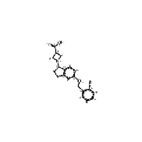 O=C(O)C1CN(C2CCc3cc(OCc4ccccc4F)ccc32)C1